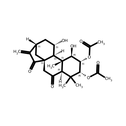 C=C1C(=O)[C@@]23CC(=O)[C@@H]4C(C)(C)[C@@H](OC(C)=O)[C@@H](OC(C)=O)[C@H](O)[C@@]4(C)[C@@H]2[C@@H](O)C[C@@H]1C3